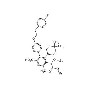 Cc1nc(C(=O)O)c(-c2ccc(OCCc3ccc(F)cc3)cc2)c(N2CCC(C)(C)CC2)c1[C@H](OC(C)(C)C)C(=O)OC(C)C